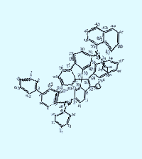 c1ccc(-c2ccc(N(c3ccccc3)c3ccc4c(c3)C3(c5ccccc5-c5ccc(N(c6ccccc6)c6cccc7ccccc67)cc53)c3c-4oc4ccccc34)cc2)cc1